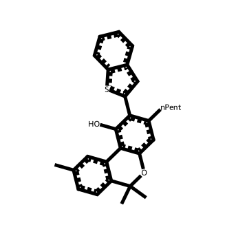 CCCCCc1cc2c(c(O)c1-c1cc3ccccc3s1)-c1cc(C)ccc1C(C)(C)O2